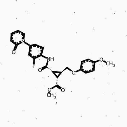 COC(=O)[C@H]1[C@H](COc2ccc(OC)cc2)[C@H]1C(=O)Nc1ccc(-n2ccccc2=O)cc1F